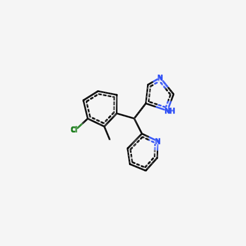 Cc1c(Cl)cccc1C(c1ccccn1)c1cnc[nH]1